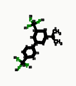 CC(C)c1cc(-c2ccc(C(F)(F)F)cc2)cc(C(F)(F)F)c1